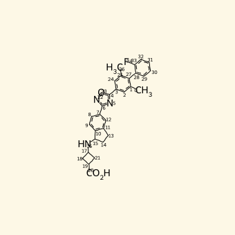 Cc1cc(-c2nc(-c3ccc4c(c3)CCC4NC3CC(C(=O)O)C3)no2)cc(C)c1-c1ccccc1F